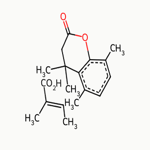 CC=C(C)C(=O)O.Cc1ccc(C)c2c1OC(=O)CC2(C)C